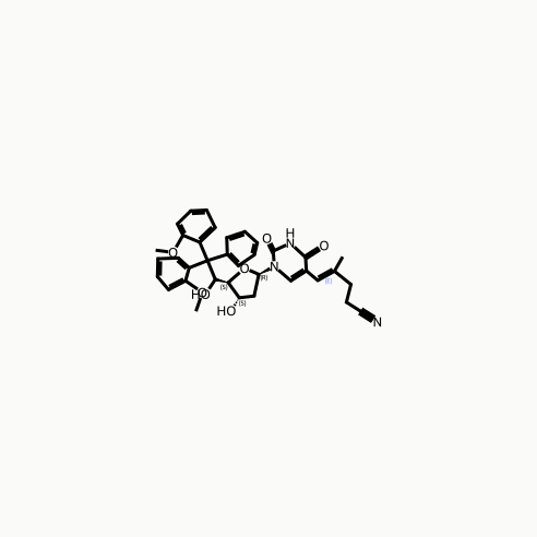 COc1ccccc1C(c1ccccc1)(c1ccccc1OC)C(O)[C@H]1O[C@@H](n2cc(/C=C(\C)CCC#N)c(=O)[nH]c2=O)C[C@@H]1O